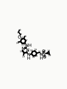 CCCOc1c(C)cc(Nc2ncc(C)c(Nc3ccc(CNS(=O)(=O)C4CC4)cc3)n2)cc1C